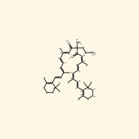 CC(C=CC1=C(C)CCCC1(C)C)=CC=CC(C)=CC(=O)C(N)(CCN)C(=O)C=C(C)C=CC=C(C)C=CC1=C(C)CCCC1(C)C